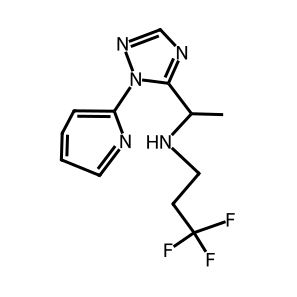 CC(NCCC(F)(F)F)c1ncnn1-c1ccccn1